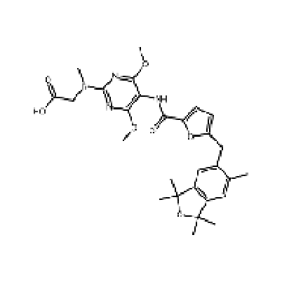 COc1nc(N(C)CC(=O)O)nc(OC)c1NC(=O)c1ccc(Cc2cc3c(cc2C)C(C)(C)OC3(C)C)o1